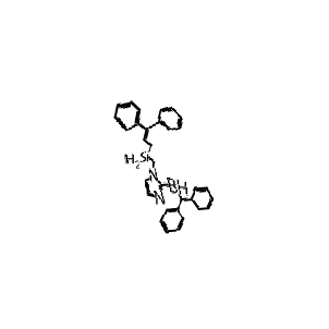 B(c1nccn1C[SiH2]CC=C(c1ccccc1)c1ccccc1)C(c1ccccc1)c1ccccc1